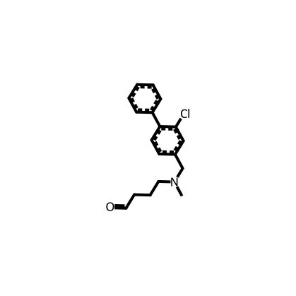 CN(CCCC=O)Cc1ccc(-c2ccccc2)c(Cl)c1